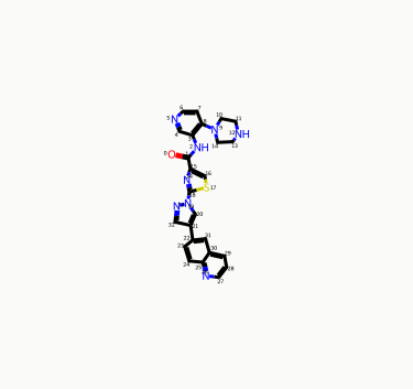 O=C(Nc1cnccc1N1CCNCC1)c1csc(-n2cc(-c3ccc4ncccc4c3)cn2)n1